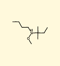 CCCC[SiH](OC)C(C)(C)CC